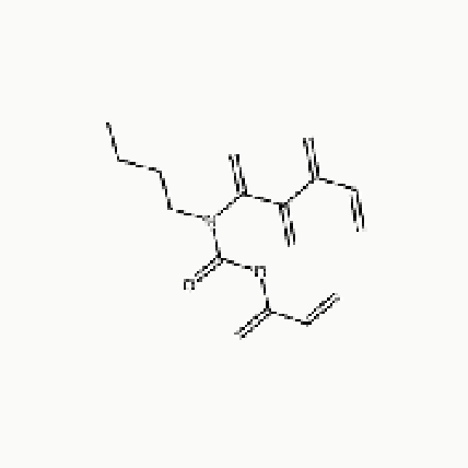 C=CC(=C)OC(=O)N(CCCC)C(=C)C(=C)C(=C)C=C